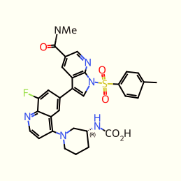 CNC(=O)c1cnc2c(c1)c(-c1cc(F)c3nccc(N4CCC[C@@H](NC(=O)O)C4)c3c1)cn2S(=O)(=O)c1ccc(C)cc1